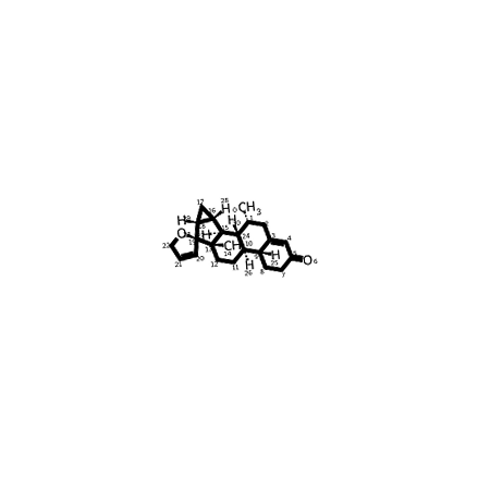 C[C@@H]1CC2=CC(=O)CC[C@@H]2[C@H]2CC[C@@]3(C)[C@@H]([C@H]4C[C@H]4[C@@]34C=CCO4)[C@@H]21